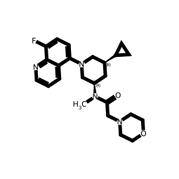 CN(C(=O)CN1CCOCC1)[C@@H]1C[C@H](C2CC2)CN(c2ccc(F)c3ncccc23)C1